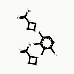 Cc1ccc(I)c(C)c1C.O=C(O)C1CCC1.O=C(O)C1CCC1